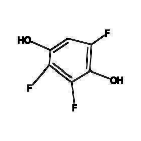 Oc1cc(F)c(O)c(F)c1F